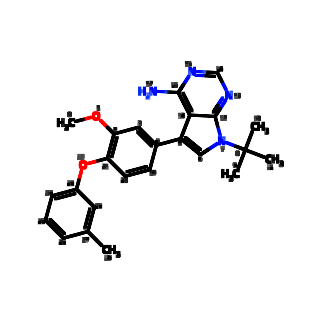 COc1cc(-c2cn(C(C)(C)C)c3ncnc(N)c23)ccc1Oc1cccc(C)c1